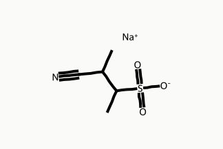 CC(C#N)C(C)S(=O)(=O)[O-].[Na+]